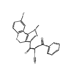 Cn1nc(C(=O)C(C#N)C(=O)c2ccccc2)c2c1-c1cc(F)ccc1SC2